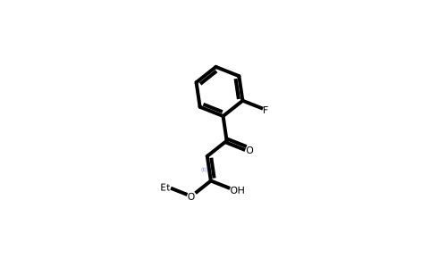 CCO/C(O)=C/C(=O)c1ccccc1F